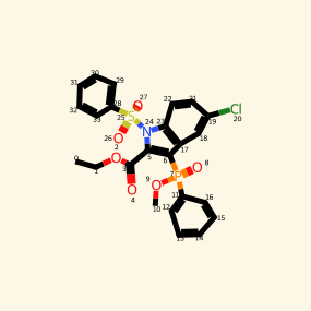 CCOC(=O)c1c(P(=O)(OC)c2ccccc2)c2cc(Cl)ccc2n1S(=O)(=O)c1ccccc1